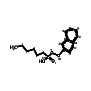 CCCCCCP(=O)(O)OOc1ccc2ccccc2c1